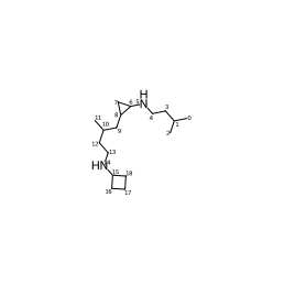 CC(C)CCNC1CC1CC(C)CCNC1CCC1